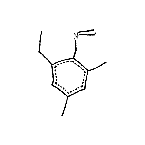 C=Nc1c(C)cc(C)cc1CC